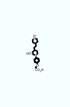 Cl.O=C(O)COc1ccc(N2CCC(CCC3CCNCC3)CC2)cc1